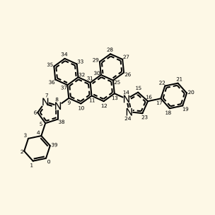 C1=CCCC(c2cnn(-c3cc4cc(-n5cc(-c6ccccc6)cn5)c5ccccc5c4c4ccccc34)c2)=C1